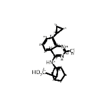 O=C(O)C1C2CCC(CC2)C1Nc1nc(Cl)nc2c(C3CC3)cccc12